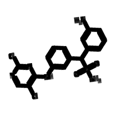 Nc1cccc(C(c2cccc(Nc3nc(Cl)ncc3Cl)c2)S(N)(=O)=O)c1